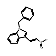 O=[N+]([O-])C=Cc1cn(Cc2ccccc2)c2ccccc12